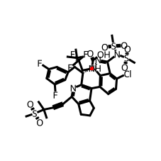 CC(C)(C)[C@@H](c1cc(F)cc(F)c1)[C@H](NC(=O)O)c1nc(C#CC(C)(C)S(C)(=O)=O)c2c(c1-c1ccc(Cl)c3c(N(S(C)(=O)=O)S(C)(=O)=O)nn(CC(F)(F)F)c13)CCC2